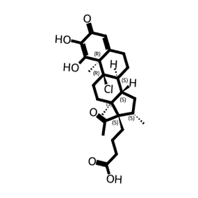 CC(=O)[C@@]1(CCCC(=O)O)[C@@H](C)C[C@H]2[C@@H]3CCC4=CC(=O)C(O)=C(O)[C@]4(C)[C@@]3(Cl)CC[C@@]21C